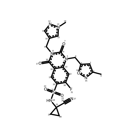 Cc1cc(Cn2c(=O)n(Cc3cnn(C)c3)c(=O)c3cc(S(=O)(=O)NC4(C#N)CC4)c(F)cc32)on1